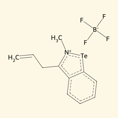 C=CCc1c2ccccc2[te][n+]1C.F[B-](F)(F)F